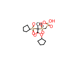 CC(C(=O)OC1CCCC1)(S(=O)(=O)CS(=O)(=O)O)S(=O)(=O)C1CCCC1